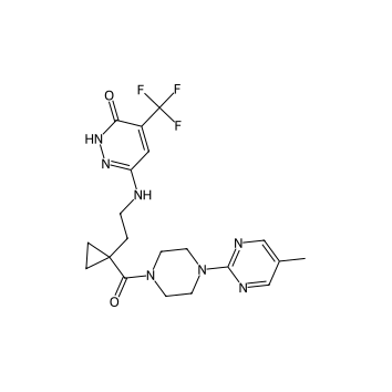 Cc1cnc(N2CCN(C(=O)C3(CCNc4cc(C(F)(F)F)c(=O)[nH]n4)CC3)CC2)nc1